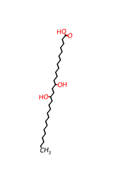 CCCCCCCCCCCCCC(O)CCC(O)CCCCCCCCCCCC(=O)O